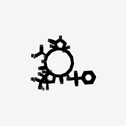 CC1(C)[C@@H]2[C@H]3C(=O)N[C@H](C(N)=O)C[C@@H]4C(=O)NC[C@@H]4CCCC[C@H](NS(=O)(=O)c4ccccc4)C(=O)N3C[C@@H]21